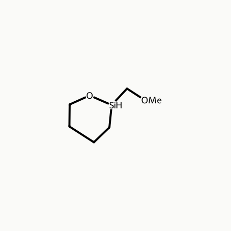 COC[SiH]1CCCCO1